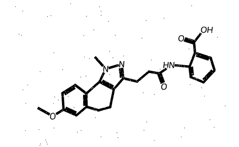 COc1ccc2c(c1)CCc1c(CCC(=O)Nc3ccccc3C(=O)O)nn(C)c1-2